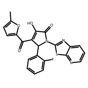 Cc1ccc(C(=O)C2=C(O)C(=O)N(c3nc4cccnc4s3)C2c2ccccc2F)o1